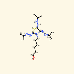 CC(C)=NN=C1SC(=NN=C(C)C)N(CCCCCC=O)C1=NN=C(C)C